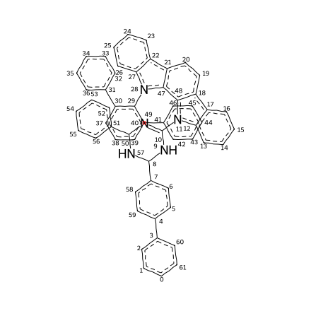 c1ccc(-c2ccc(C3NC(n4c5ccccc5c5ccc6c7ccccc7n(-c7c(-c8ccccc8)cccc7-c7ccccc7)c6c54)=NC(c4ccccc4)N3)cc2)cc1